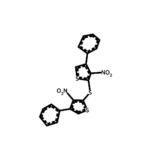 O=[N+]([O-])c1c(-c2ccccc2)csc1Sc1scc(-c2ccccc2)c1[N+](=O)[O-]